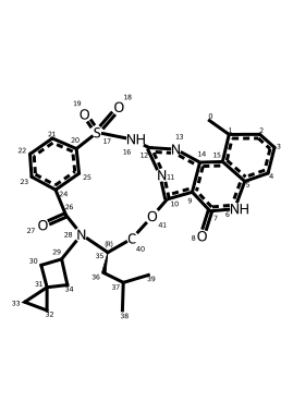 Cc1cccc2[nH]c(=O)c3c4nc(nc3c12)NS(=O)(=O)c1cccc(c1)C(=O)N(C1CC2(CC2)C1)[C@H](CC(C)C)CO4